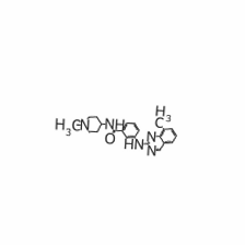 Cc1cccc2cnc(Nc3cccc(C(=O)NC4CCN(C)CC4)c3)nc12